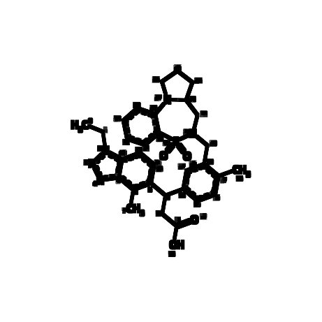 CCn1nnc2c(C)c(C(CC(=O)O)c3ccc(C)c(CN4CC5CCCN5c5ccccc5S4(=O)=O)c3)ccc21